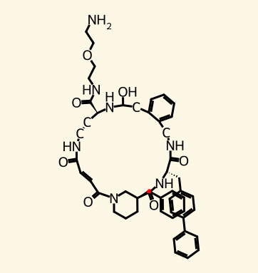 NCCOCCNC(=O)[C@@H]1CCNC(=O)/C=C/C(=O)N2CCC[C@](Cc3ccccc3)(C2)C(=O)N[C@@H](Cc2ccc(-c3ccccc3)cc2)C(=O)NCc2ccccc2CC(O)N1